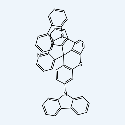 c1cc2c(c(-n3c4ccccc4c4ccccc43)c1)C1(c3ccc(-n4c5ccccc5c5ccccc54)cc3S2)c2cccnc2-c2ncccc21